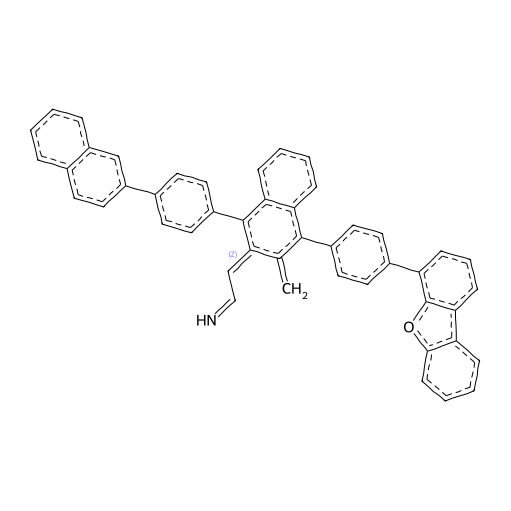 C=c1c(-c2ccc(-c3cccc4c3oc3ccccc34)cc2)c2ccccc2c(-c2ccc(-c3ccc4ccccc4c3)cc2)/c1=C/C=N